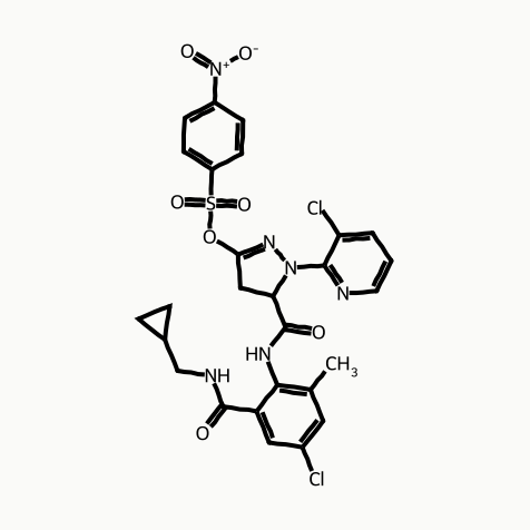 Cc1cc(Cl)cc(C(=O)NCC2CC2)c1NC(=O)C1CC(OS(=O)(=O)c2ccc([N+](=O)[O-])cc2)=NN1c1ncccc1Cl